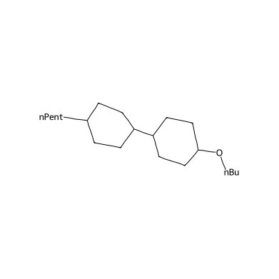 CCCCCC1CCC(C2CCC(OCCCC)CC2)CC1